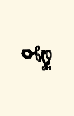 O=C(O[C@H]1COCC1O)c1ccccc1